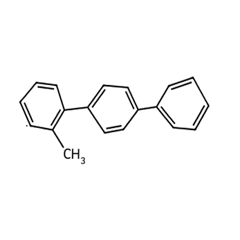 Cc1[c]cccc1-c1ccc(-c2ccccc2)cc1